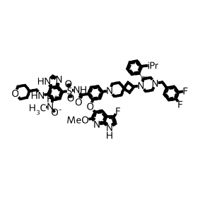 COc1nc2[nH]cc(F)c2cc1Oc1cc(N2CCC3(CC2)CC(N2CCN(Cc4ccc(F)c(F)c4)C[C@H]2c2ccccc2C(C)C)C3)ccc1C(=O)NS(=O)(=O)c1cc([NH+](C)[O-])c(NCC2CCOCC2)c2[nH]cnc12